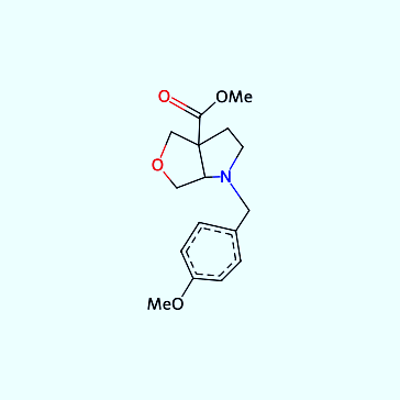 COC(=O)C12CCN(Cc3ccc(OC)cc3)C1COC2